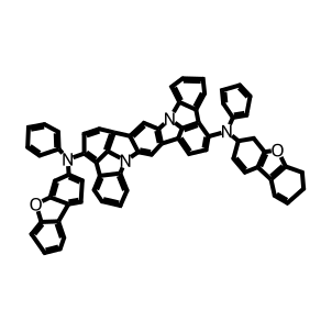 C1=Cc2c(oc3c2C=CC(N(c2ccccc2)c2ccc4c5cc6c(cc5n5c7ccccc7c2c45)c2ccc(N(c4ccccc4)c4ccc5c(c4)oc4ccccc45)c4c5ccccc5n6c24)C3)CC1